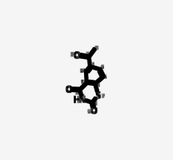 CC(=O)c1ccc2sc(=O)[nH]c(=O)c2c1